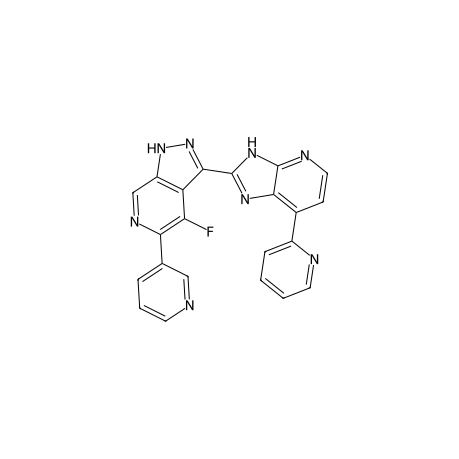 Fc1c(-c2cccnc2)ncc2[nH]nc(-c3nc4c(-c5ccccn5)ccnc4[nH]3)c12